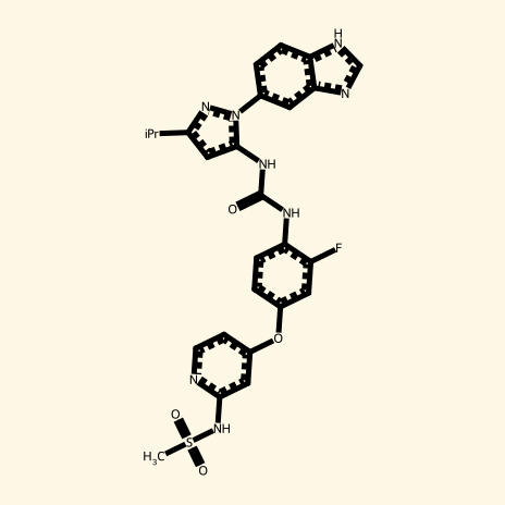 CC(C)c1cc(NC(=O)Nc2ccc(Oc3ccnc(NS(C)(=O)=O)c3)cc2F)n(-c2ccc3[nH]cnc3c2)n1